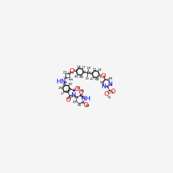 COC(=O)c1ncc(Oc2ccc(C(C)(C)c3ccc(O[C@H]4C[C@H](Nc5ccc6c(c5)C(=O)N(C5CCC(=O)NC5=O)C6=O)C4)cc3)cc2)cn1